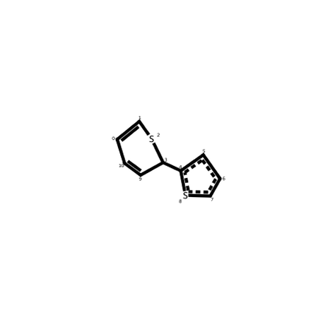 C1=CSC(c2cccs2)C=C1